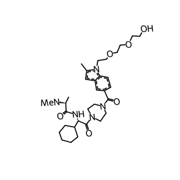 CN[C@@H](C)C(=O)N[C@H](C(=O)N1CCN(C(=O)c2ccc3c(c2)cc(C)n3CCOCCOCCO)CC1)C1CCCCC1